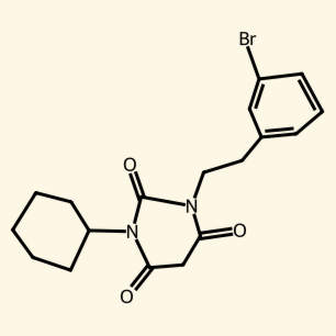 O=C1CC(=O)N(C2CCCCC2)C(=O)N1CCc1cccc(Br)c1